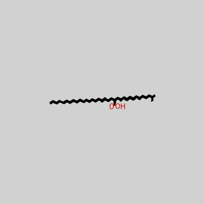 CCCCCCCCCCCCCCCCCCCCC(CCCCCCCCCCCC(C)C)C(=O)O